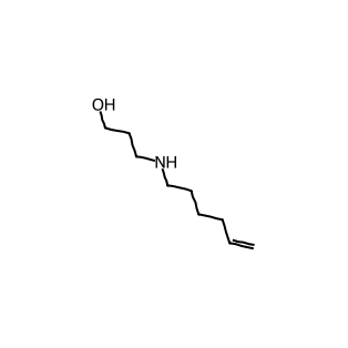 C=CCCCCNCCCO